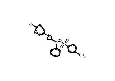 Cc1ccc(S(=O)(=O)ON(c2ccccc2)C2CN(c3ccc(Cl)nc3)C2)cc1